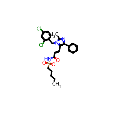 CCCCCS(=O)(=O)NC(=O)C=Cc1c(-c2ccccc2)nc(C)n1Cc1ccc(Cl)cc1Cl